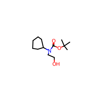 CC(C)(C)OC(=O)N(CCO)C1CCCCC1